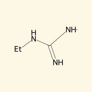 CCNC([NH])=N